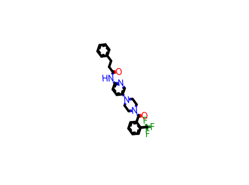 O=C(CCc1ccccc1)Nc1ccc(N2CCN(C(=O)c3ccccc3C(F)(F)F)CC2)cn1